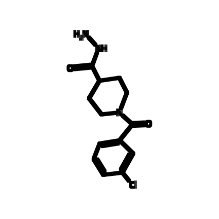 NNC(=O)C1CCN(C(=O)c2cccc(Cl)c2)CC1